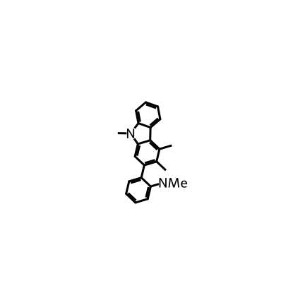 CNc1ccccc1-c1cc2c(c(C)c1C)c1ccccc1n2C